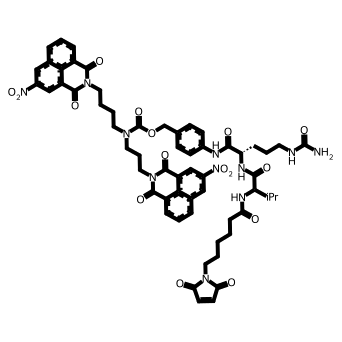 CC(C)C(NC(=O)CCCCCN1C(=O)C=CC1=O)C(=O)N[C@@H](CCCNC(N)=O)C(=O)Nc1ccc(COC(=O)N(CCCCN2C(=O)c3cccc4cc([N+](=O)[O-])cc(c34)C2=O)CCCN2C(=O)c3cccc4cc([N+](=O)[O-])cc(c34)C2=O)cc1